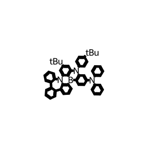 CC(C)(C)c1ccc(N2c3cc(N(c4ccccc4)c4ccccc4)ccc3B3c4cccc5c4N(c4ccccc4-c4ccccc4-5)c4cc(C(C)(C)C)cc2c43)cc1